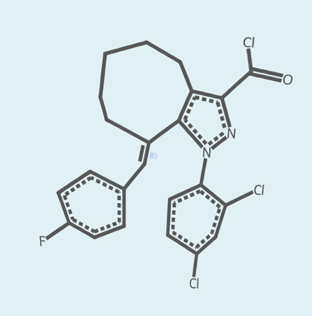 O=C(Cl)c1nn(-c2ccc(Cl)cc2Cl)c2c1CCCCC/C2=C\c1ccc(F)cc1